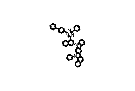 c1ccc(-c2ccc(-c3nc(-c4ccccc4)nc(-c4cc(-n5c6ccccc6c6cc7c8ccc9ccccc9c8n(-c8ccccc8)c7cc65)cc5ccccc45)n3)cc2)cc1